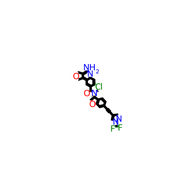 CN(C(=O)c1cc2c3c(c(N)nc2cc1Cl)COC3)[C@@H]1COc2cc(C#Cc3cnn(C(F)F)c3)ccc21